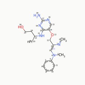 C=N/C(=C\N(C)c1ccccc1)COc1cnc(N)nc1NC(CCC)CCO